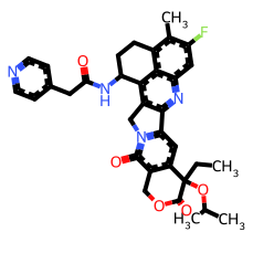 CCC1(OC(C)C)C(=O)OCc2c1cc1n(c2=O)Cc2c-1nc1cc(F)c(C)c3c1c2C(NC(=O)Cc1ccncc1)CC3